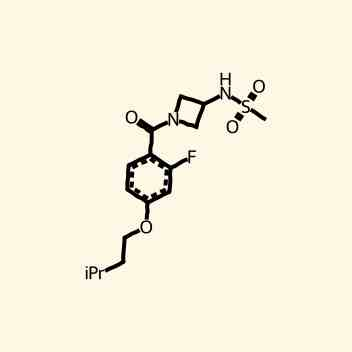 CC(C)CCOc1ccc(C(=O)N2CC(NS(C)(=O)=O)C2)c(F)c1